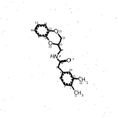 Cc1ccc(CC(=O)NCC2COc3ccccc3O2)cc1C